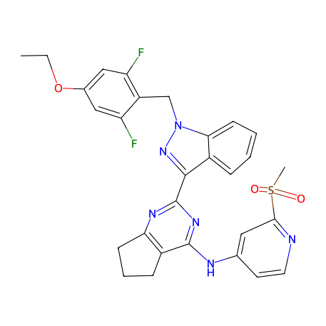 CCOc1cc(F)c(Cn2nc(-c3nc4c(c(Nc5ccnc(S(C)(=O)=O)c5)n3)CCC4)c3ccccc32)c(F)c1